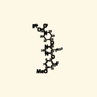 C#Cc1c(Oc2ccc(OC)cc2F)ncnc1OC1CCN(C(=O)OC(C)C)CC1